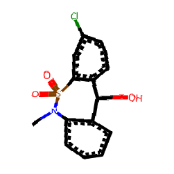 CN1c2ccccc2C(O)c2ccc(Cl)cc2S1(=O)=O